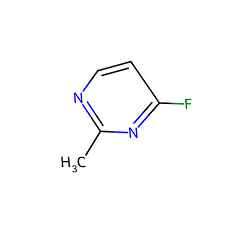 Cc1nccc(F)n1